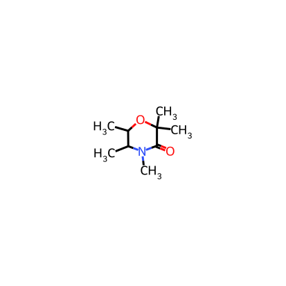 CC1OC(C)(C)C(=O)N(C)C1C